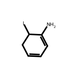 NC1=CC=CCC1I